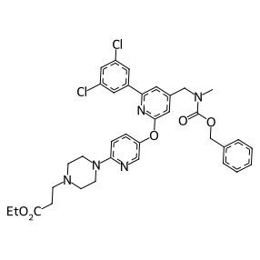 CCOC(=O)CCN1CCN(c2ccc(Oc3cc(CN(C)C(=O)OCc4ccccc4)cc(-c4cc(Cl)cc(Cl)c4)n3)cn2)CC1